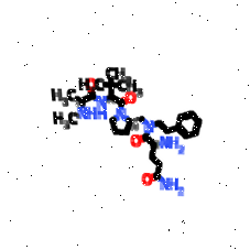 CN[C@@H](C)C(=O)N[C@H](C(=O)N1CCC[C@H]1CN(CCc1ccccc1)C(=O)[C@H](N)CCC(N)=O)C(C)(C)C